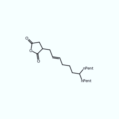 CCCCCC(CCC/C=C/CC1CC(=O)OC1=O)CCCCC